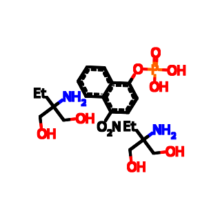 CCC(N)(CO)CO.CCC(N)(CO)CO.O=[N+]([O-])c1ccc(OP(=O)(O)O)c2ccccc12